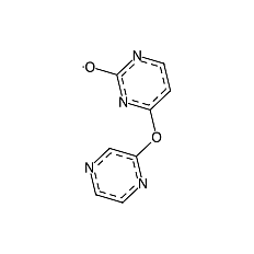 [O]c1nccc(Oc2cnccn2)n1